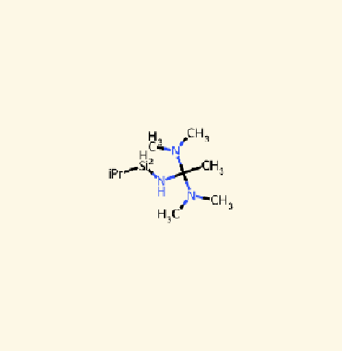 CC(C)[SiH2]NC(C)(N(C)C)N(C)C